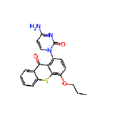 CCCOc1ccc(-n2ccc(N)nc2=O)c2c(=O)c3ccccc3sc12